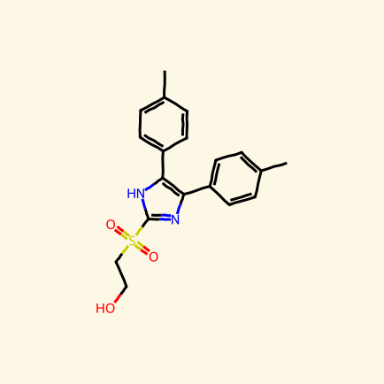 Cc1ccc(-c2nc(S(=O)(=O)CCO)[nH]c2-c2ccc(C)cc2)cc1